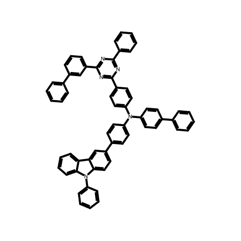 c1ccc(-c2ccc(N(c3ccc(-c4ccc5c(c4)c4ccccc4n5-c4ccccc4)cc3)c3ccc(-c4nc(-c5ccccc5)nc(-c5cccc(-c6ccccc6)c5)n4)cc3)cc2)cc1